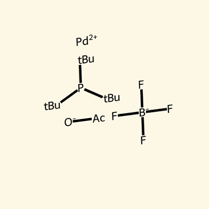 CC(=O)[O-].CC(C)(C)P(C(C)(C)C)C(C)(C)C.F[B-](F)(F)F.[Pd+2]